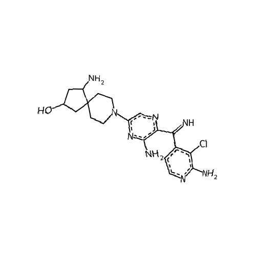 N=C(c1ccnc(N)c1Cl)c1ncc(N2CCC3(CC2)CC(O)CC3N)nc1N